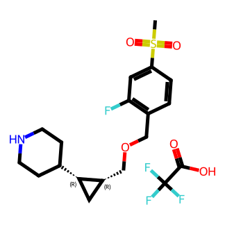 CS(=O)(=O)c1ccc(COC[C@@H]2C[C@@H]2C2CCNCC2)c(F)c1.O=C(O)C(F)(F)F